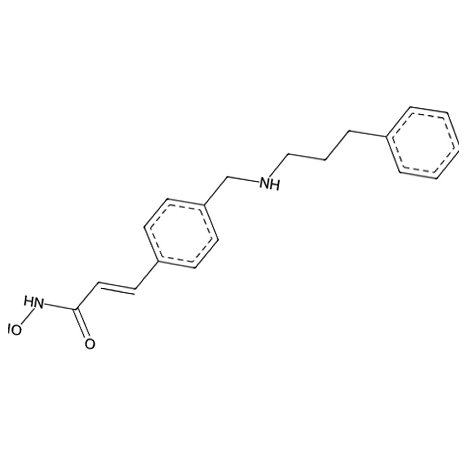 O=C(/C=C/c1ccc(CNCCCc2ccccc2)cc1)NO